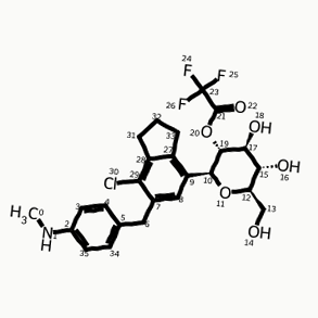 CNc1ccc(Cc2cc([C@@H]3O[C@H](CO)[C@@H](O)[C@H](O)[C@H]3OC(=O)C(F)(F)F)c3c(c2Cl)CCC3)cc1